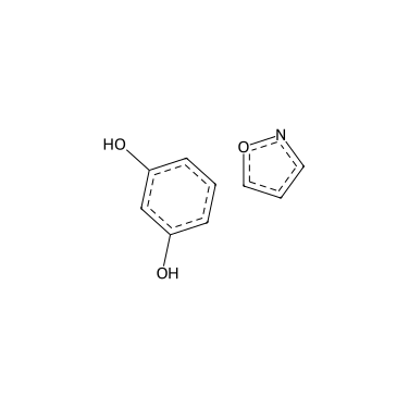 Oc1cccc(O)c1.c1cnoc1